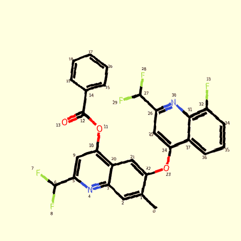 Cc1cc2nc(C(F)F)cc(OC(=O)c3ccccc3)c2cc1Oc1cc(C(F)F)nc2c(F)cccc12